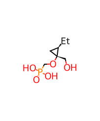 CC[C@@H]1C[C@@]1(CO)OCP(=O)(O)O